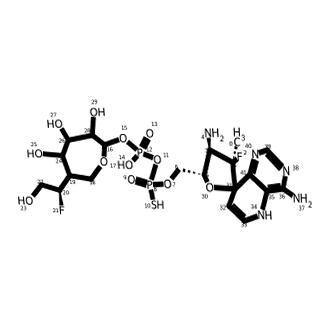 C[C@@]1(F)[C@H](N)[C@@H](COP(=O)(S)OP(=O)(O)OC2OCC([C@@H](F)CO)C(O)C(O)C2O)OC12C=CNc1c(N)ncnc12